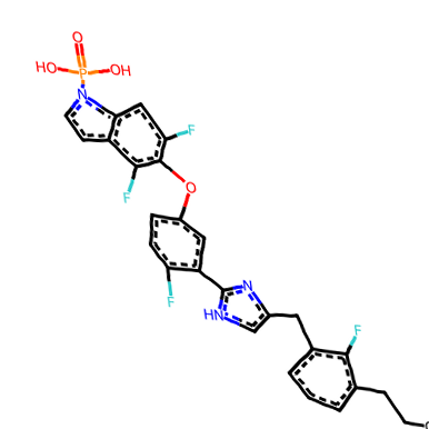 O=C(O)CCc1cccc(Cc2c[nH]c(-c3cc(Oc4c(F)cc5c(ccn5P(=O)(O)O)c4F)ccc3F)n2)c1F